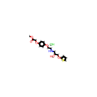 COC(=O)COc1ccc(OCCNCC(O)COc2cccs2)cc1.Cl